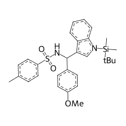 COc1ccc(C(NS(=O)(=O)c2ccc(C)cc2)c2cn([Si](C)(C)C(C)(C)C)c3ccccc23)cc1